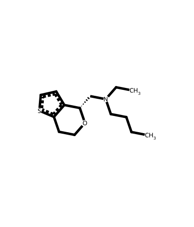 CCCCN(CC)C[C@@H]1OCCc2sccc21